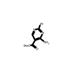 COC(=O)c1cnc(C(C)C)nc1N